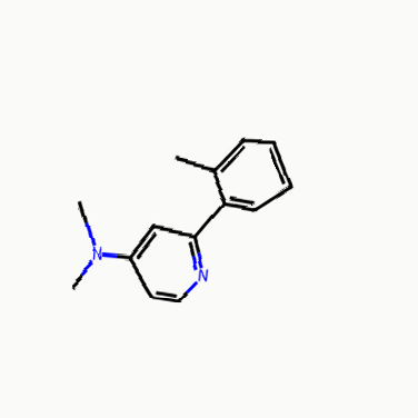 Cc1ccccc1-c1cc(N(C)C)ccn1